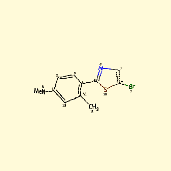 CNc1ccc(-c2ncc(Br)s2)c(C)c1